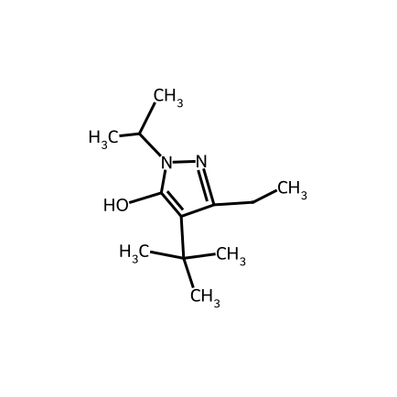 CCc1nn(C(C)C)c(O)c1C(C)(C)C